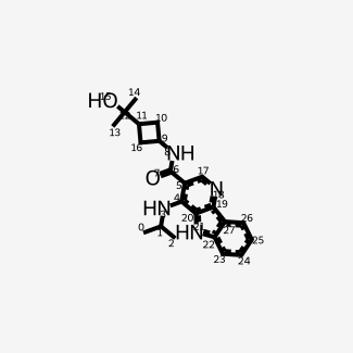 CC(C)Nc1c(C(=O)NC2CC(C(C)(C)O)C2)cnc2c1[nH]c1ccccc12